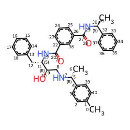 Cc1ccc([C@@H](C)NC[C@@H](O)[C@H](Cc2ccccc2)NC(=O)c2cccc(C(=O)N[C@@H](C)c3ccccc3)c2)cc1